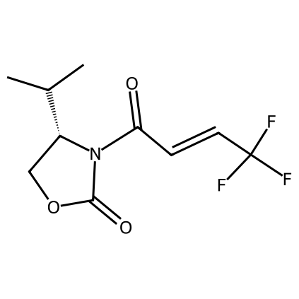 CC(C)[C@H]1COC(=O)N1C(=O)/C=C/C(F)(F)F